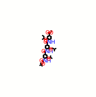 CCC(C)Oc1cc(C(=O)OC)ccc1NC(=O)c1ccc(NC(=O)c2ccc(NC(=O)OC(C)(C)C)c(OC(C)C)c2)c(OCC(C)C)c1